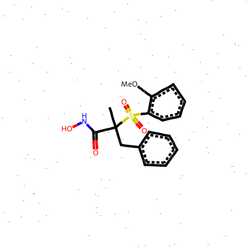 COc1ccccc1S(=O)(=O)C(C)(Cc1ccccc1)C(=O)NO